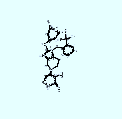 O=c1[nH]ncc(N2CCc3c(nc(Oc4cccc(F)c4)n3Cc3ccccc3C(F)(F)F)C2)c1Cl